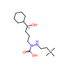 C[Si](C)(C)CCNN(CCC[C@H](O)C1CCCCC1)C(=O)O